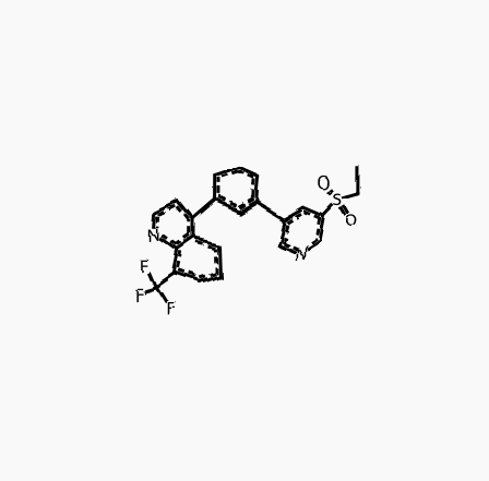 CCS(=O)(=O)c1cncc(-c2cccc(-c3ccnc4c(C(F)(F)F)cccc34)c2)c1